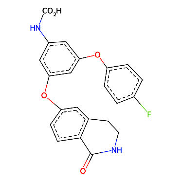 O=C(O)Nc1cc(Oc2ccc(F)cc2)cc(Oc2ccc3c(c2)CCNC3=O)c1